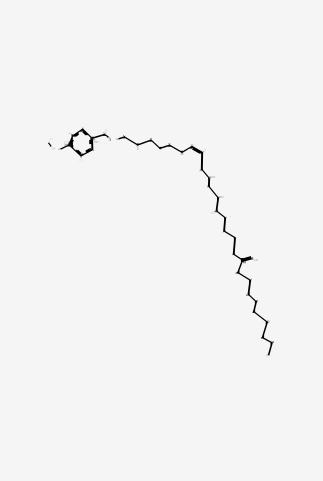 CCCCCCCCCC(=O)CCCCCCCCC/C=C\CCCCCCOCc1ccc(OC)cc1